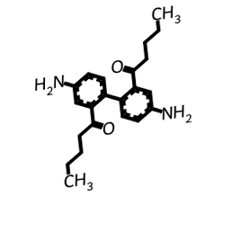 CCCCC(=O)c1cc(N)ccc1-c1ccc(N)cc1C(=O)CCCC